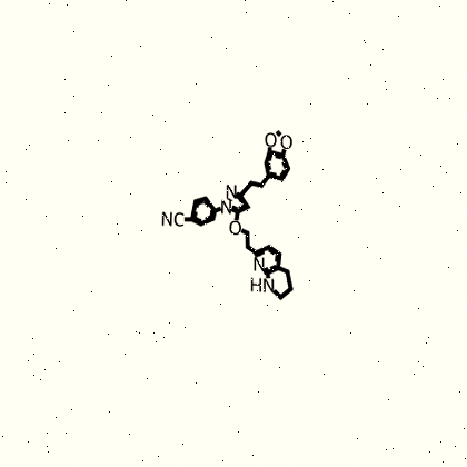 N#Cc1ccc(-n2nc(CCc3ccc4c(c3)OCO4)cc2OCCc2ccc3c(n2)NCCC3)cc1